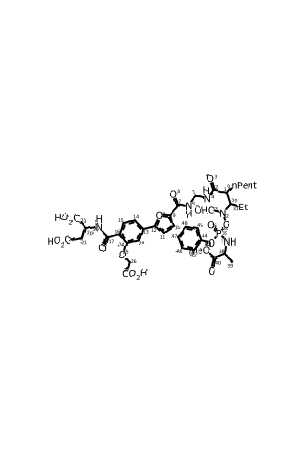 CCCCCC(C(=O)NCNC(=O)c1ccc(-c2ccc(C(=O)NC(CC(=O)O)C(=O)O)c(OCC(=O)O)c2)o1)C(CC)N(C=O)OP(=O)(NC(C)C(=O)OC)Oc1ccccc1